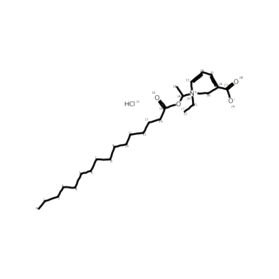 CCCCCCCCCCCCCCCC(=O)OC(C)[N+]1(CC)C=CC=C(C(=O)[O-])C1.Cl